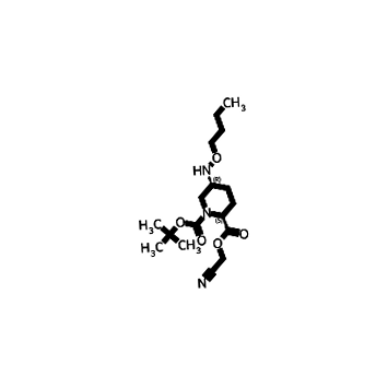 CCCCON[C@@H]1CC[C@@H](C(=O)OCC#N)N(C(=O)OC(C)(C)C)C1